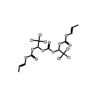 CC=COC(=O)OC(OC(=O)OC(OC(=O)OC=CC)C(Cl)(Cl)Cl)C(Cl)(Cl)Cl